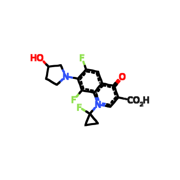 O=C(O)c1cn(C2(F)CC2)c2c(F)c(N3CCC(O)C3)c(F)cc2c1=O